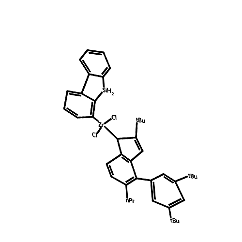 CCCc1ccc2c(c1-c1cc(C(C)(C)C)cc(C(C)(C)C)c1)C=C(C(C)(C)C)[CH]2[Zr]([Cl])([Cl])[c]1cccc2c1[SiH2]c1ccccc1-2